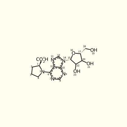 O=C(O)[C@@H]1CCCN1c1ncnc2c1ncn2[C@@H]1O[C@H](CO)C(O)C1O